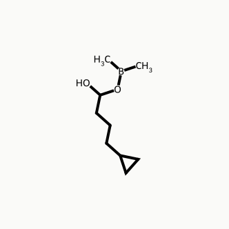 CB(C)OC(O)CCCC1CC1